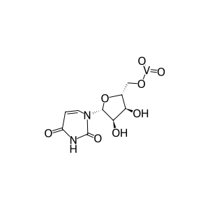 O=c1ccn([C@@H]2O[C@H](C[O][V](=[O])=[O])[C@@H](O)[C@H]2O)c(=O)[nH]1